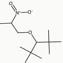 CC(COC(C(C)(C)C)C(C)(C)C)[N+](=O)[O-]